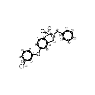 O=S1(=O)c2ccc(Oc3cccc(Cl)c3)cc2CN1Cc1ccccc1